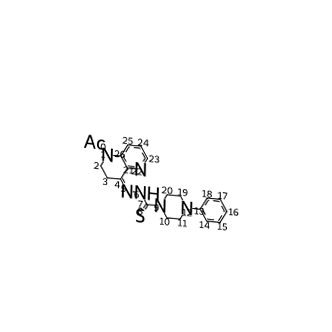 CC(=O)N1CC/C(=N/NC(=S)N2CCN(c3ccccc3)CC2)c2ncccc21